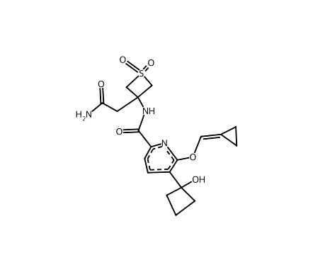 NC(=O)CC1(NC(=O)c2ccc(C3(O)CCC3)c(OC=C3CC3)n2)CS(=O)(=O)C1